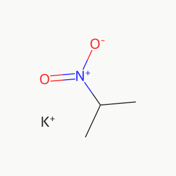 CC(C)[N+](=O)[O-].[K+]